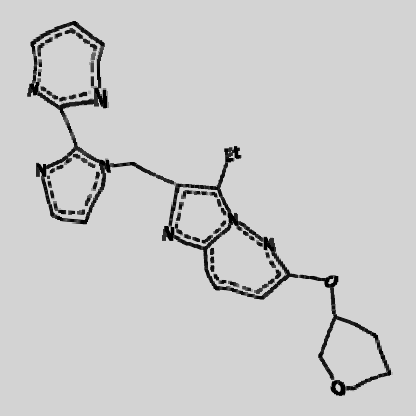 CCc1c(Cn2ccnc2-c2ncccn2)nc2ccc(OC3CCOC3)nn12